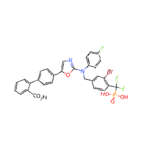 O=C(O)c1ccccc1-c1ccc(-c2cnc(N(Cc3ccc(C(F)(F)P(=O)(O)O)c(Br)c3)c3ccc(F)cc3)o2)cc1